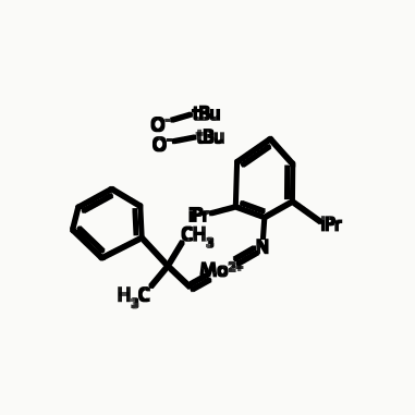 CC(C)(C)[O-].CC(C)(C)[O-].CC(C)c1cccc(C(C)C)c1[N]=[Mo+2]=[CH]C(C)(C)c1ccccc1